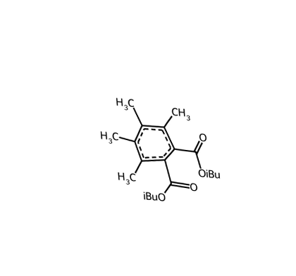 Cc1c(C)c(C)c(C(=O)OCC(C)C)c(C(=O)OCC(C)C)c1C